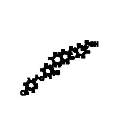 O=c1cc(OCc2ccc(Cl)cn2)ccn1C1=Cc2ccc(CN3CCC[C@H](CO)C3)cc2CC1